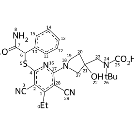 CCc1c(C#N)c(SC(C(N)=O)c2ccccc2)nc(N2CCC(O)(CN(C(=O)O)C(C)(C)C)C2)c1C#N